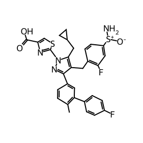 Cc1ccc(-c2nn(-c3nc(C(=O)O)cs3)c(CC3CC3)c2Cc2ccc([S+](N)[O-])cc2F)cc1-c1ccc(F)cc1